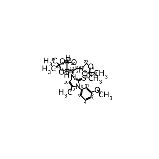 COc1cccc(-n2c(C)cn([C@H]3[C@H]4OC(C)(C)O[C@H]4O[C@@H]3[C@H]3COC(C)(C)O3)c2=S)c1